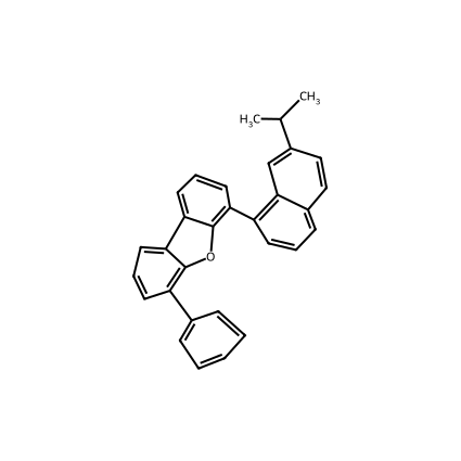 CC(C)c1ccc2cccc(-c3cccc4c3oc3c(-c5ccccc5)cccc34)c2c1